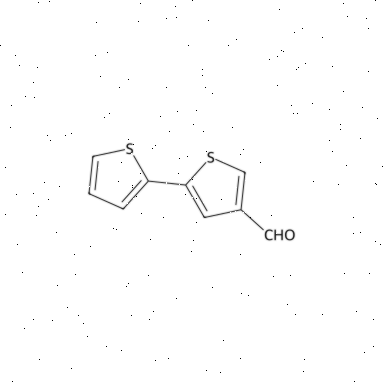 O=Cc1csc(-c2cccs2)c1